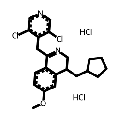 COc1ccc2c(c1)C(CC1CCCC1)CN=C2Cc1c(Cl)cncc1Cl.Cl.Cl